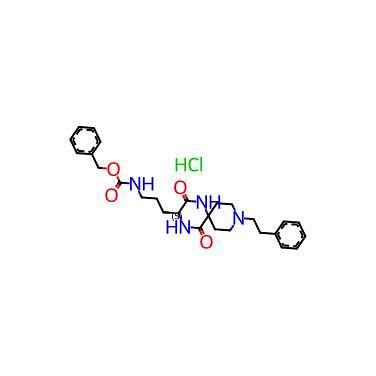 Cl.O=C(NCCC[C@@H]1NC(=O)C2(CCN(CCc3ccccc3)CC2)NC1=O)OCc1ccccc1